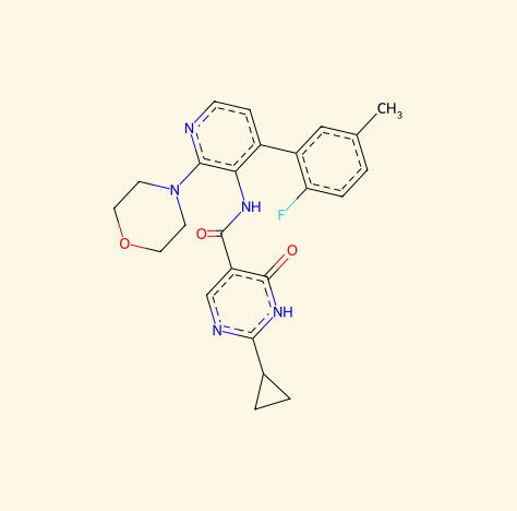 Cc1ccc(F)c(-c2ccnc(N3CCOCC3)c2NC(=O)c2cnc(C3CC3)[nH]c2=O)c1